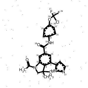 CC(=O)N1CC(C)(C)c2c(-c3ccn[nH]3)cc(C(=O)Nc3ccc(OC(F)(F)Cl)cc3)cc21